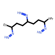 CCCC(CCC(CCC(CC)N=N)N=N)N=N